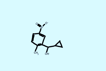 Cc1ccc([N+](=O)[O-])cc1C(O)C1CC1